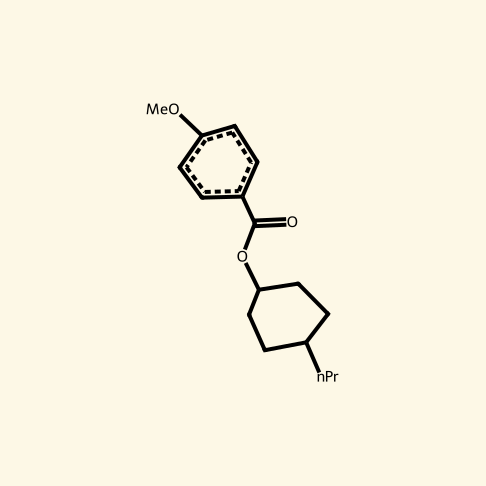 CCCC1CCC(OC(=O)c2ccc(OC)cc2)CC1